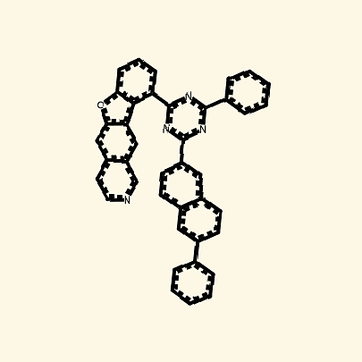 c1ccc(-c2ccc3cc(-c4nc(-c5ccccc5)nc(-c5cccc6oc7cc8ccncc8cc7c56)n4)ccc3c2)cc1